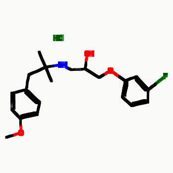 COc1ccc(CC(C)(C)NCC(O)COc2cccc(F)c2)cc1.Cl